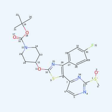 C[S+]([O-])c1nccc(-c2sc(OC3CCN(C(=O)OC(C)(C)C)CC3)nc2-c2ccc(F)cc2)n1